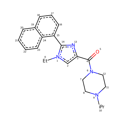 CCn1cc(C(=O)N2CCN(C(C)C)CC2)nc1-c1cccc2ccccc12